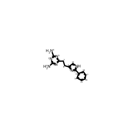 Nc1nc(N)nc(CCc2c[nH]c(-c3ccccc3)n2)n1